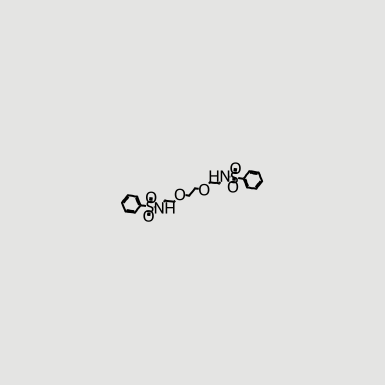 O=S(=O)(NCCOCCOCCNS(=O)(=O)c1ccccc1)c1ccccc1